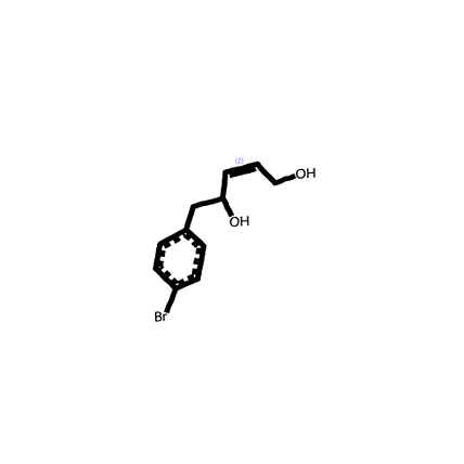 OC/C=C\C(O)Cc1ccc(Br)cc1